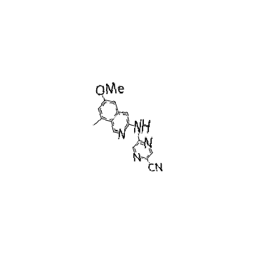 COc1cc(C)c2cnc(Nc3cnc(C#N)cn3)cc2c1